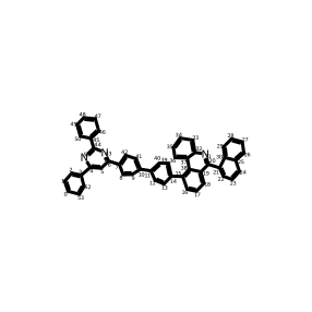 c1ccc(-c2cc(-c3ccc(-c4ccc(-c5cccc6c(-c7cccc8ccccc78)nc7ccccc7c56)cc4)cc3)nc(-c3ccccc3)n2)cc1